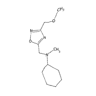 COCc1noc(CN(C)C2CCCCC2)n1